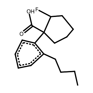 CCCCc1ccccc1C1(C(=O)O)CCCCC1F